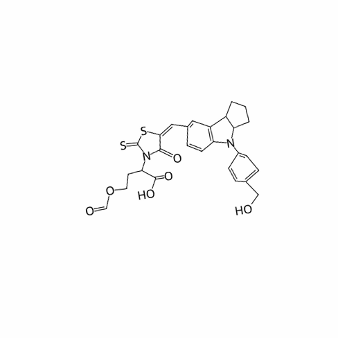 O=COCCC(C(=O)O)N1C(=O)/C(=C\c2ccc3c(c2)C2CCCC2N3c2ccc(CO)cc2)SC1=S